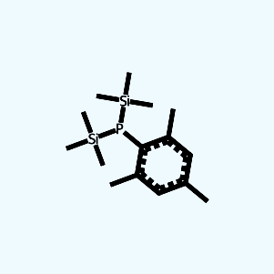 Cc1cc(C)c(P([Si](C)(C)C)[Si](C)(C)C)c(C)c1